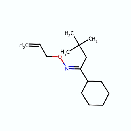 C=CCON=C(CC(C)(C)C)C1CCCCC1